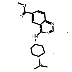 COC(=O)c1ccc2ncnc(N[C@H]3CC[C@H](N(C)C)CC3)c2c1